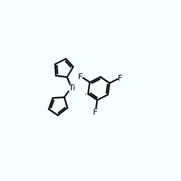 C1=C[CH]([Ti][CH]2C=CC=C2)C=C1.Fc1[c]c(F)cc(F)c1